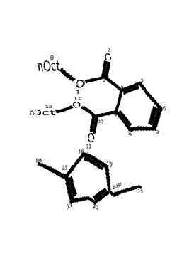 CCCCCCCCOC(=O)c1ccccc1C(=O)OCCCCCCCC.Cc1ccc(C)cc1